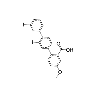 COc1ccc(-c2ccc(-c3cccc(I)c3)c(I)c2)c(C(=O)O)c1